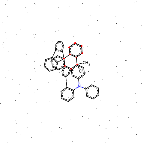 CC1(C)c2ccccc2C2(c3ccccc3-c3ccccc32)c2ccc(-c3ccccc3N(c3ccccc3)c3ccc(-c4ccccc4)c(-c4ccccc4)c3)cc21